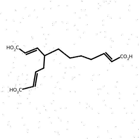 O=C(O)C=CCCCCC(C=CC(=O)O)CC=CC(=O)O